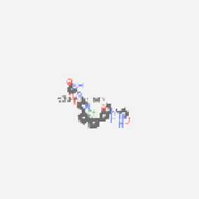 COc1nc(-c2cccc(-c3cccc(-c4ccc5c(c4)OCCC5NC[C@@H]4CCC(=O)N4)c3Cl)c2Cl)ccc1CN(C[C@@H]1CCC(=O)N1)C(=O)OC(C)(C)C